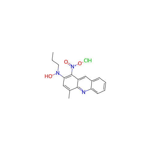 CCCN(O)c1cc(C)c2nc3ccccc3cc2c1[N+](=O)[O-].Cl